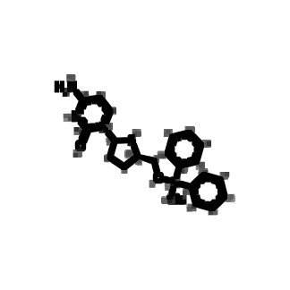 CC(C)(C)[Si](OC[C@H]1CCC(n2ccc(N)nc2=O)S1)(c1ccccc1)c1ccccc1